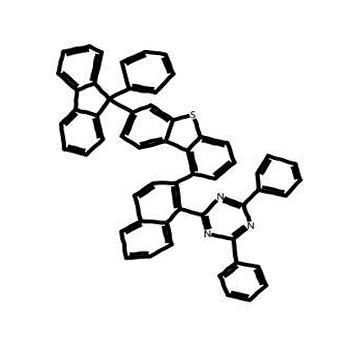 c1ccc(-c2nc(-c3ccccc3)nc(-c3c(-c4cccc5sc6cc(C7(c8ccccc8)c8ccccc8-c8ccccc87)ccc6c45)ccc4ccccc34)n2)cc1